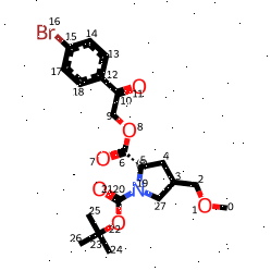 COCC1C[C@@H](C(=O)OCC(=O)c2ccc(Br)cc2)N(C(=O)OC(C)(C)C)C1